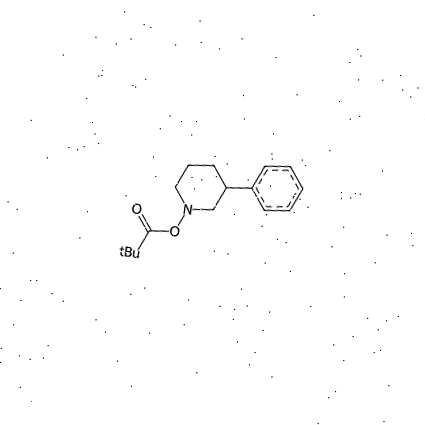 CC(C)(C)C(=O)ON1CCCC(c2ccccc2)C1